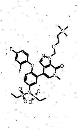 CCS(=O)(=O)N(c1ccc(Oc2ccc(F)cc2F)c(-c2cn(C)c(=O)c3c2cnn3COCC[Si](C)(C)C)c1)S(=O)(=O)CC